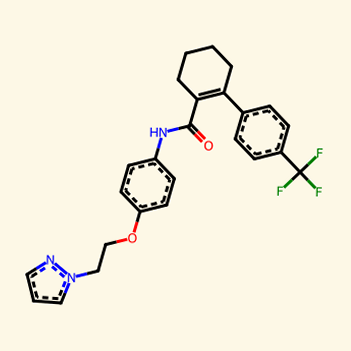 O=C(Nc1ccc(OCCn2cccn2)cc1)C1=C(c2ccc(C(F)(F)F)cc2)CCCC1